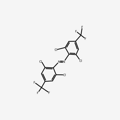 FC(F)(F)c1cc(Cl)c(N=Nc2c(Cl)cc(C(F)(F)F)cc2Cl)c(Cl)c1